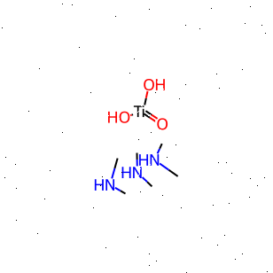 CNC.CNC.CNC.[O]=[Ti]([OH])[OH]